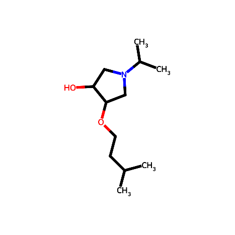 CC(C)CCOC1CN(C(C)C)CC1O